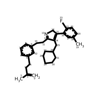 C=C(C)CCc1cccc(CCC2=NCC(c3cc(C)ccc3F)=C2CC2CCCCC2)c1